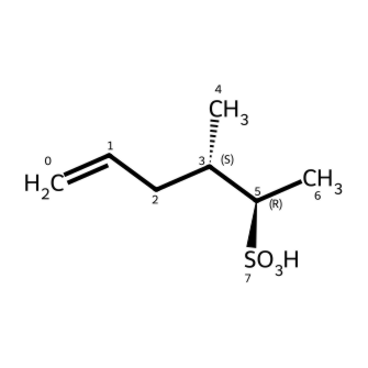 C=CC[C@H](C)[C@@H](C)S(=O)(=O)O